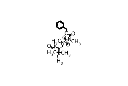 CN(C[C@@H](NC=O)C(C)(C)C)S(=O)(=O)N(C)C(=O)OCc1ccccc1